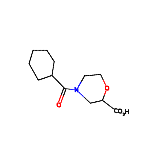 O=C(O)C1CN(C(=O)C2CCCCC2)CCO1